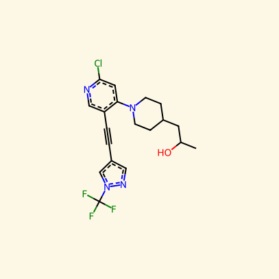 CC(O)CC1CCN(c2cc(Cl)ncc2C#Cc2cnn(C(F)(F)F)c2)CC1